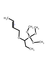 C/C=C/COC(CC)[Si](OC)(OC)OC